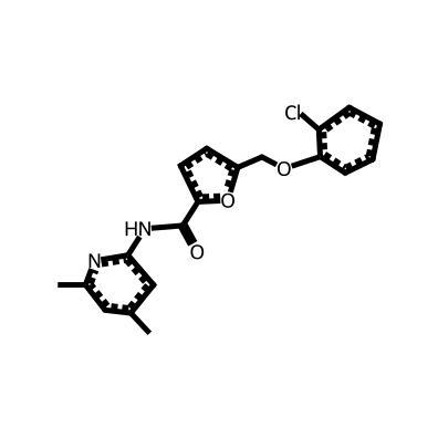 Cc1cc(C)nc(NC(=O)c2ccc(COc3ccccc3Cl)o2)c1